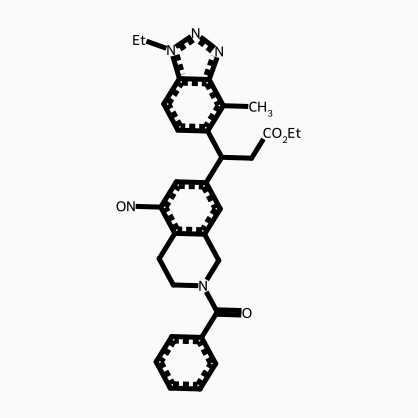 CCOC(=O)CC(c1cc2c(c(N=O)c1)CCN(C(=O)c1ccccc1)C2)c1ccc2c(nnn2CC)c1C